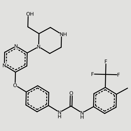 Cc1ccc(NC(=O)Nc2ccc(Oc3cc(N4CCNCC4CO)ncn3)cc2)cc1C(F)(F)F